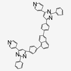 c1ccc(-c2nc(-c3ccncc3)cc(-c3ccc(-c4ccc5c(-c6ccc(-c7cc(-c8ccncc8)nc(-c8ccccc8)n7)cc6)cccc5c4)cc3)n2)cc1